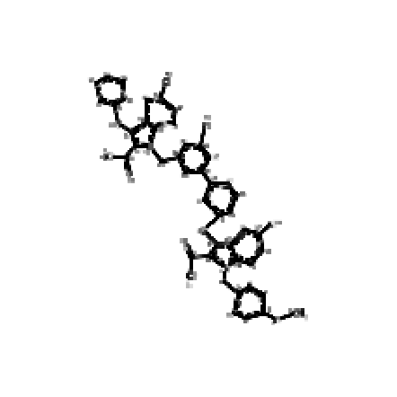 COc1ccc(Cn2c(C(=O)O)c(Sc3cccc(-c4cc(Cl)cc(Cn5c(C(=O)O)c(Sc6ccccc6)c6cc(Cl)ccc65)c4)c3)c3cc(Cl)ccc32)cc1